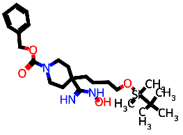 CC(C)(C)[Si](C)(C)OCCCCC1(C(=N)NO)CCN(C(=O)OCc2ccccc2)CC1